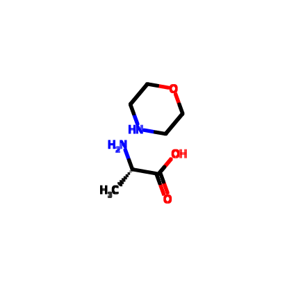 C1COCCN1.C[C@H](N)C(=O)O